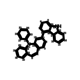 C1=Cc2ccc(-c3cccc4[nH]c5ccccc5c34)cc2N(c2ccccc2)c2ccccc21